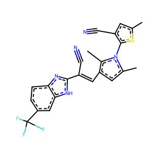 Cc1cc(C#N)c(-n2c(C)cc(C=C(C#N)c3nc4ccc(C(F)(F)F)cc4[nH]3)c2C)s1